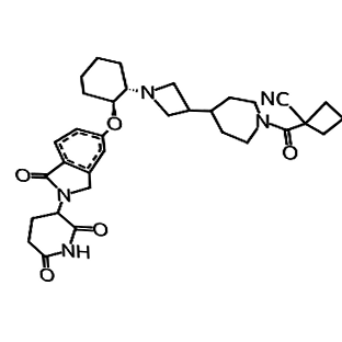 N#CC1(C(=O)N2CCC(C3CN([C@H]4CCCC[C@@H]4Oc4ccc5c(c4)CN(C4CCC(=O)NC4=O)C5=O)C3)CC2)CCC1